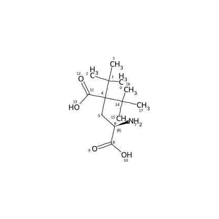 CC(C)(C)C(C[C@@H](N)C(=O)O)(C(=O)O)C(C)(C)C